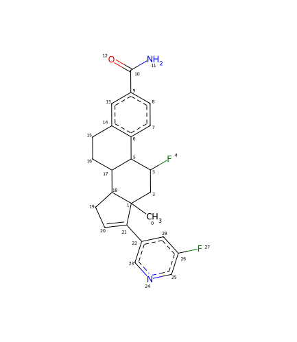 CC12CC(F)C3c4ccc(C(N)=O)cc4CCC3C1CC=C2c1cncc(F)c1